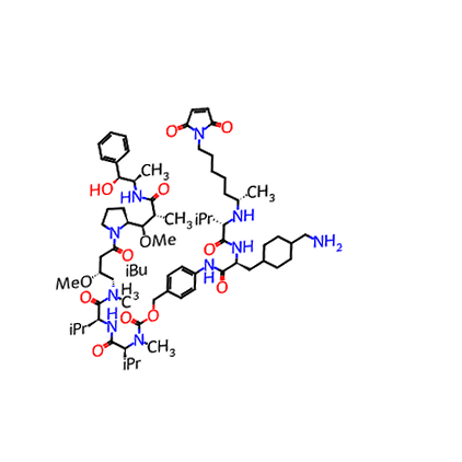 CC[C@H](C)[C@@H]([C@@H](CC(=O)N1CCC[C@H]1[C@H](OC)[C@@H](C)C(=O)N[C@H](C)[C@@H](O)c1ccccc1)OC)N(C)C(=O)[C@@H](NC(=O)[C@H](C(C)C)N(C)C(=O)OCc1ccc(NC(=O)[C@H](CC2CCC(CN)CC2)NC(=O)[C@@H](N[C@@H](C)CCCCCN2C(=O)C=CC2=O)C(C)C)cc1)C(C)C